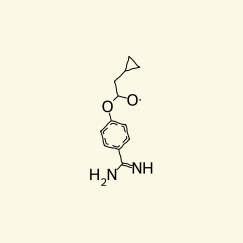 N=C(N)c1ccc(OC([O])CC2CC2)cc1